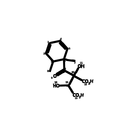 CC1C=CC=CC1(C)C(=O)C(O)(C(=O)O)C(O)C(=O)O